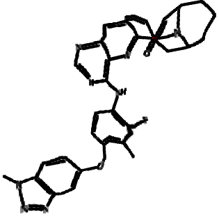 C=CC(=O)N1C2C=C(c3ccc4ncnc(Nc5ccc(Oc6ccc7c(c6)nnn7C)c(C)c5F)c4n3)CC1CCC2